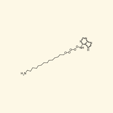 NCCCCCCCCCCCCCCOOOOONc1ncnc2nc[nH]c12